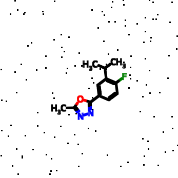 Cc1nnc(-c2ccc(F)c(C(C)C)c2)o1